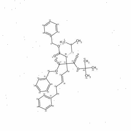 CC(C)C[C@@H](C(=O)OCc1ccccc1)C(CC=CCCc1ccccc1)(C(=O)OCc1ccccc1)C(=O)OC(C)(C)C